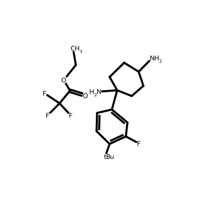 CC(C)(C)c1ccc(C2(N)CCC(N)CC2)cc1F.CCOC(=O)C(F)(F)F